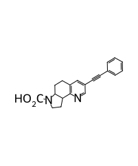 O=C(O)N1CCC2c3ncc(C#Cc4ccccc4)cc3CCC21